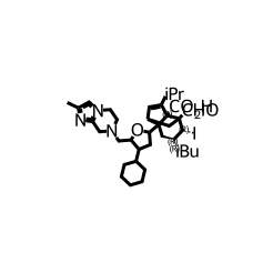 CC[C@@H](C)[C@H]1CC2(C3CC(C4CCCCC4)C(CN4CCn5cc(C)nc5C4)O3)C3C=C(C(C)C)[C@]2(C(=O)O)C(C=O)(C3)[C@@H]1I